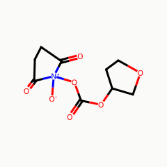 O=C(OC1CCOC1)O[N+]1([O-])C(=O)CCC1=O